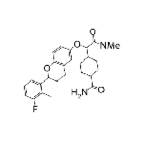 CNC(=O)C(Oc1ccc2c(c1)CCC(c1cccc(F)c1C)O2)C1CCC(C(N)=O)CC1